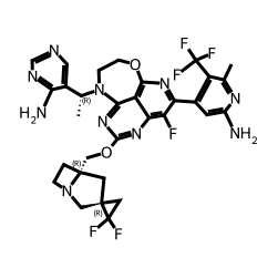 Cc1nc(N)cc(-c2nc3c4c(nc(OC[C@@]56CCN5C[C@]5(CC5(F)F)C6)nc4c2F)N([C@H](C)c2cncnc2N)CCO3)c1C(F)(F)F